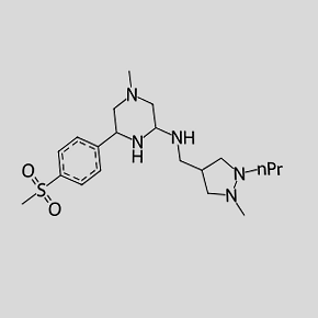 CCCN1CC(CNC2CN(C)CC(c3ccc(S(C)(=O)=O)cc3)N2)CN1C